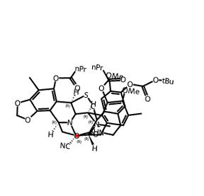 CCCC(=O)Oc1c(C)c2c(c3c1[C@H]1SC[C@]4(NCCc5cc(OC(=O)OC(C)(C)C)c(OC)cc54)C(=O)OC[C@@H]3N3C1[C@H]1c4c(cc(C)c(OC)c4OC(=O)CCC)C[C@H]([C@@H]3C#N)N1C)OCO2